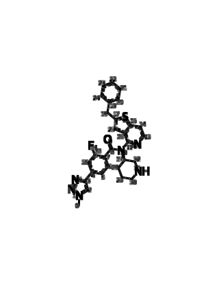 Cn1cc(-c2ccc(C(=O)N(c3nccc4sc(Cc5ccccc5)cc34)[C@@H]3CCCNC3)c(F)c2)nn1